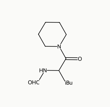 CCC(C)C(NC=O)C(=O)N1CCCCC1